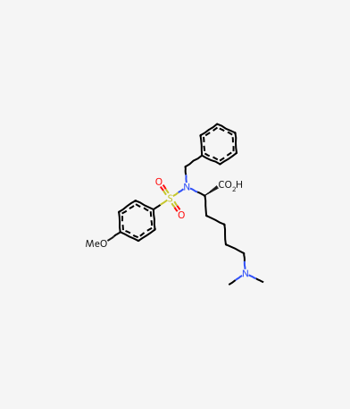 COc1ccc(S(=O)(=O)N(Cc2ccccc2)[C@H](CCCCN(C)C)C(=O)O)cc1